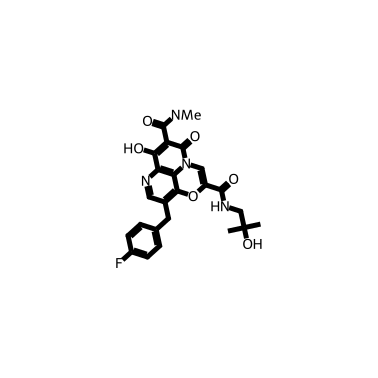 CNC(=O)c1c(O)c2ncc(Cc3ccc(F)cc3)c3c2n(c1=O)C=C(C(=O)NCC(C)(C)O)O3